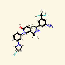 C=C(NC(C)c1cc(N)cc(C(C)(F)F)c1)c1ccc(=O)n(-c2cccc(N3CC[C@@H](F)C3)c2)c1